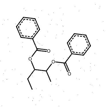 CCC(OC(=O)c1ccccc1)C(C)OC(=O)c1ccccc1